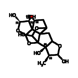 C[C@@H]1C(O)OC2CC34C5C[C@@H](C(C)(C)C)C36C(O[C@H](O)[C@@H]6O)OC4(C(O)O5)[C@]21O